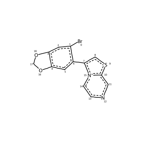 Brc1cc2c(cc1-c1csc3cncc[n+]13)OCO2